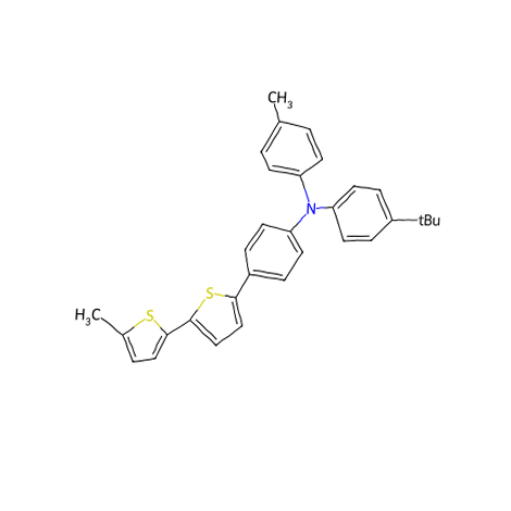 Cc1ccc(N(c2ccc(-c3ccc(-c4ccc(C)s4)s3)cc2)c2ccc(C(C)(C)C)cc2)cc1